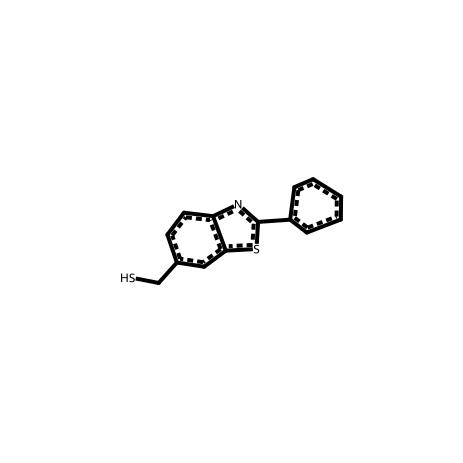 SCc1ccc2nc(-c3ccccc3)sc2c1